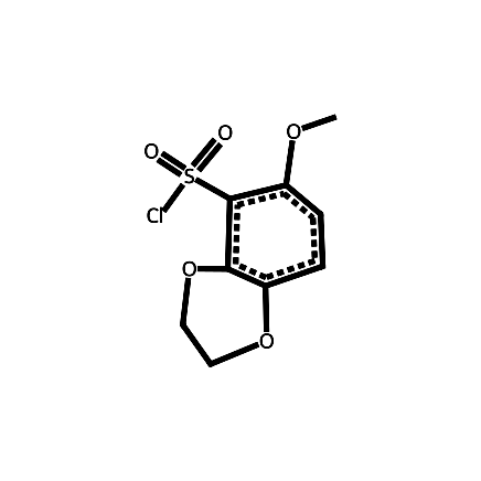 COc1ccc2c(c1S(=O)(=O)Cl)OCCO2